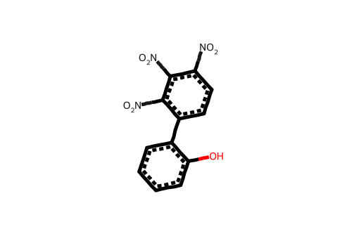 O=[N+]([O-])c1ccc(-c2ccccc2O)c([N+](=O)[O-])c1[N+](=O)[O-]